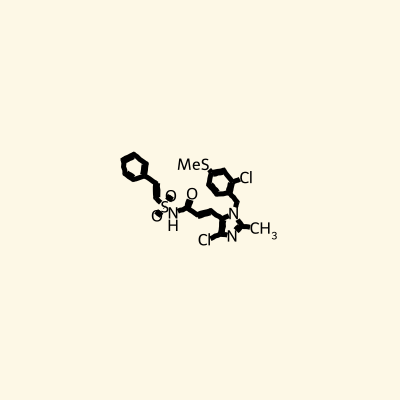 CSc1ccc(Cn2c(C)nc(Cl)c2C=CC(=O)NS(=O)(=O)C=Cc2ccccc2)c(Cl)c1